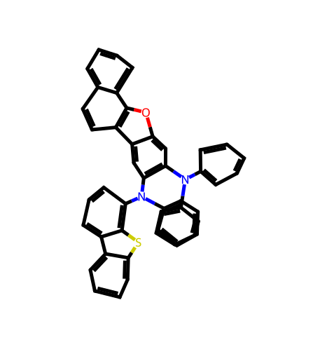 c1ccc(N(c2ccccc2)c2cc3oc4c5ccccc5ccc4c3cc2N(c2ccccc2)c2cccc3c2sc2ccccc23)cc1